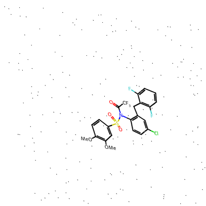 COc1ccc(S(=O)(=O)N(C(=O)C(F)(F)F)c2ccc(Cl)cc2Cc2c(F)cccc2F)cc1OC